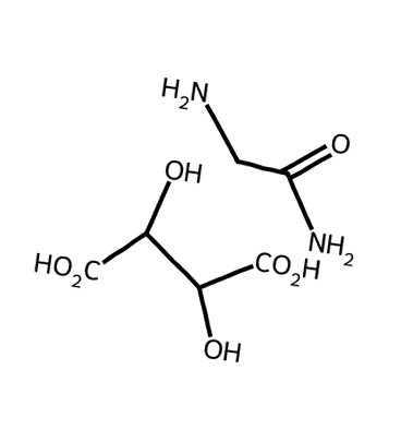 NCC(N)=O.O=C(O)C(O)C(O)C(=O)O